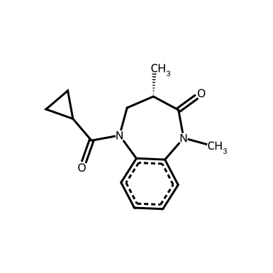 C[C@H]1CN(C(=O)C2CC2)c2ccccc2N(C)C1=O